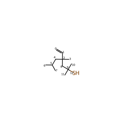 C=CC(C)(CC(C)C)CC(C)(C)S